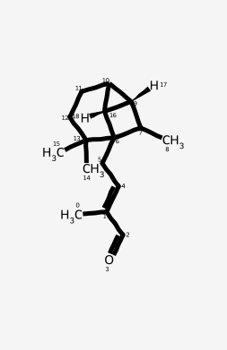 C/C(C=O)=C\CC12C(C)[C@H]3C(CCC1(C)C)[C@H]32